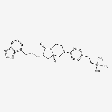 CC(C)(C)[Si](C)(C)OCc1ccc(N2CCN3C(=O)[C@@H](CCCc4cccc5ncnn45)C[C@H]3C2)nc1